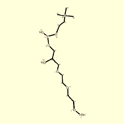 CCCCCCCCCCOCCOCCOCC(O)COP(O)OCC[N+](C)(C)C